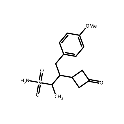 COc1ccc(CC(C2CC(=O)C2)C(C)S(N)(=O)=O)cc1